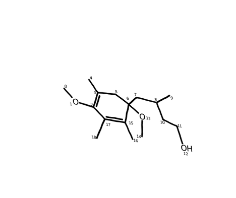 COC1=C(C)CC(CC(C)CCO)(OC)C(C)=C1C